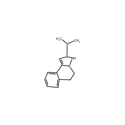 CN(C)N1C=C2c3ccccc3CCN2N1